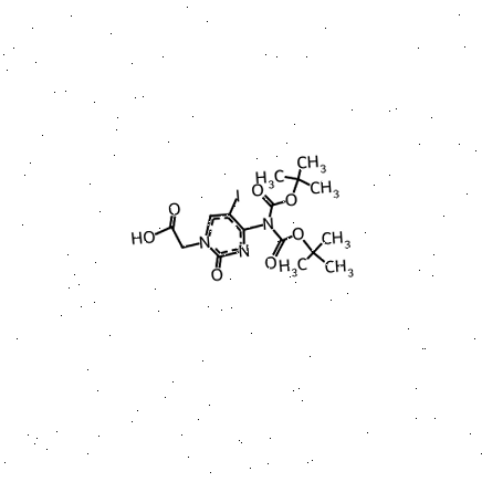 CC(C)(C)OC(=O)N(C(=O)OC(C)(C)C)c1nc(=O)n(CC(=O)O)cc1I